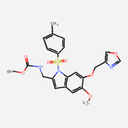 Cc1ccc(S(=O)(=O)n2c(CNC(=O)OC(C)(C)C)cc3cc(OC(F)(F)F)c(OCc4cocn4)cc32)cc1